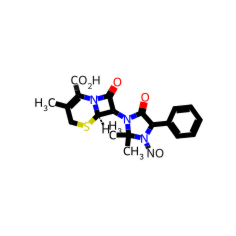 CC1=C(C(=O)O)N2C(=O)C(N3C(=O)C(c4ccccc4)N(N=O)C3(C)C)[C@H]2SC1